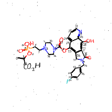 CC(OP(=O)(O)CCN1CCN(C(=O)Oc2c3c(c(O)c4ncccc24)C(=O)N(Cc2ccc(F)cc2)C3)CC1)C(=O)O